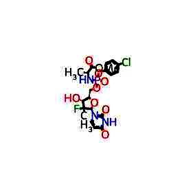 COC(=O)[C@H](C)NP(=O)(OC[C@H]1O[C@@H](n2ccc(=O)[nH]c2=O)[C@](C)(F)[C@@H]1O)Oc1ccc(Cl)cc1